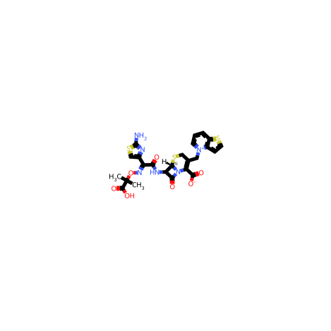 CC(C)(ON=C(C(=O)NC1C(=O)N2C(C(=O)[O-])=C(C[n+]3cccc4sccc43)CS[C@@H]12)c1csc(N)n1)C(=O)O